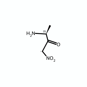 C[C@H](N)C(=O)[CH][N+](=O)[O-]